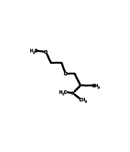 BOCCOCC(B)N(C)C